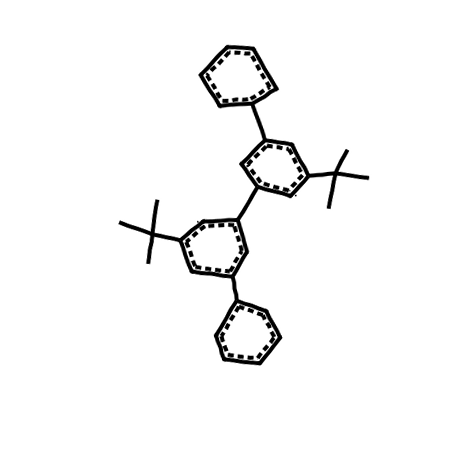 CC(C)(C)c1[c]c(-c2[c]c(C(C)(C)C)cc(-c3ccccc3)c2)cc(-c2ccccc2)c1